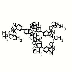 CCC(C)Oc1ncnc2ccc(-c3ccc(OC)c(OC)c3)cc12.CCCOc1ncnc2ccc(-c3ccc(OC)c(OC)c3)cc12.COc1ccc(-c2ccc3ncnc(OC(C)(C)C)c3c2)cc1OC